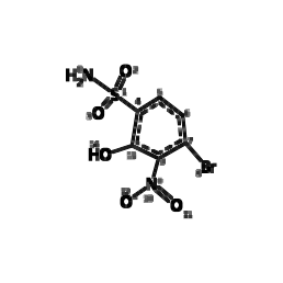 NS(=O)(=O)c1ccc(Br)c([N+](=O)[O-])c1O